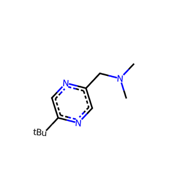 CN(C)Cc1cnc(C(C)(C)C)cn1